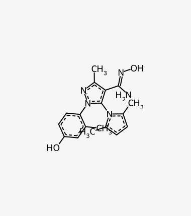 Cc1cc(O)ccc1-n1nc(C)c(/C(N)=N/O)c1-n1c(C)ccc1C